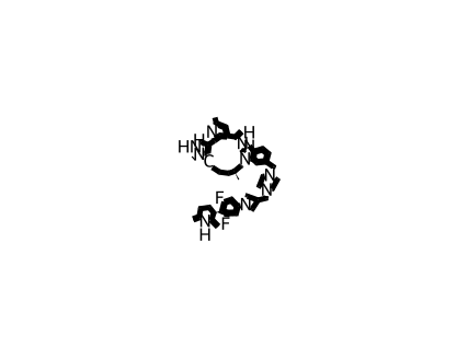 C=C1CC[C@H](c2c(F)cc(N3CC(CN4CCN(Cc5ccc6c(c5)N5C[C@H](C)CCCC/C(NC)=C(/C=N)c7cc(cc(C)n7)C(=C)/N=C/5N6)CC4)C3)cc2F)C(=C)N1